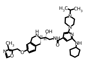 Cc1ncoc1COc1ccc2c(c1)CN[C@H]([C@H](O)CNC(=O)c1cc(NC3CCCCC3)nc(N3CCN(C(C)C)CC3)c1)C2